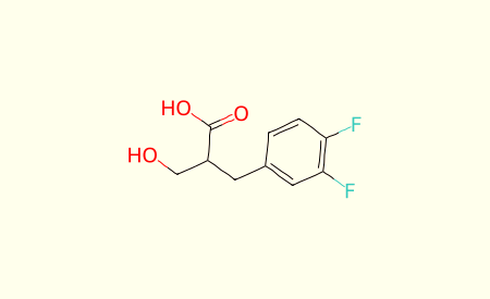 O=C(O)C(CO)Cc1ccc(F)c(F)c1